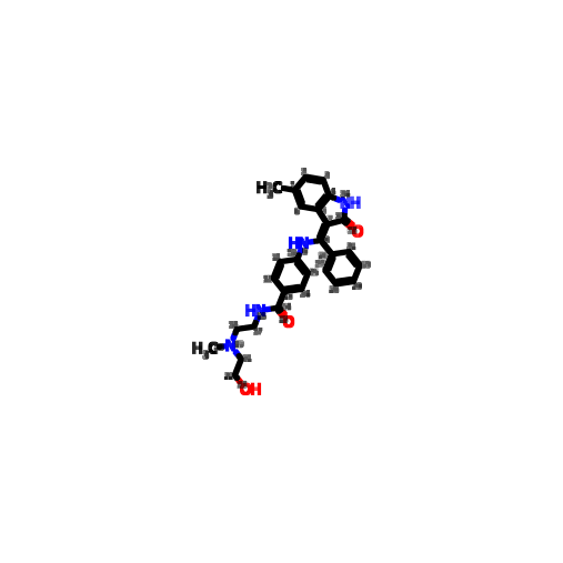 Cc1ccc2c(c1)C(=C(Nc1ccc(C(=O)NCCN(C)CCO)cc1)c1ccccc1)C(=O)N2